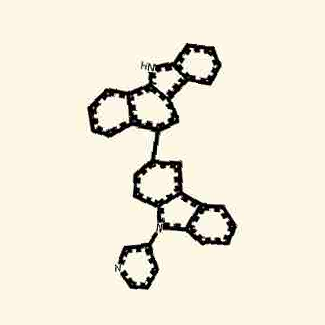 c1cncc(-n2c3ccccc3c3cc(-c4cc5c6ccccc6[nH]c5c5ccccc45)ccc32)c1